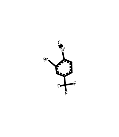 [C-]#[N+]c1ccc(C(F)(F)F)cc1Br